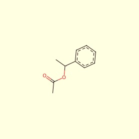 C[C](OC(C)=O)c1ccccc1